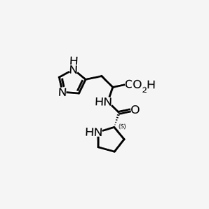 O=C(O)C(Cc1cnc[nH]1)NC(=O)[C@@H]1CCCN1